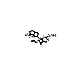 C=CCn1c(=O)c2cnc(SC)nc2n1C1C=C2C(=CC1)CCC2(O)CC